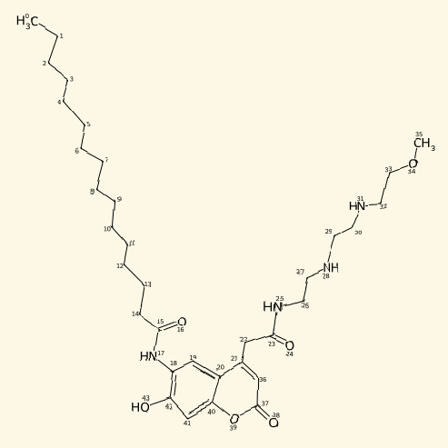 CCCCCCCCCCCCCCCC(=O)Nc1cc2c(CC(=O)NCCNCCNCCOC)cc(=O)oc2cc1O